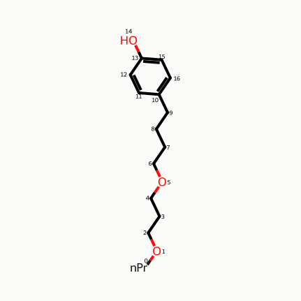 CCCOCCCOCCCCc1ccc(O)cc1